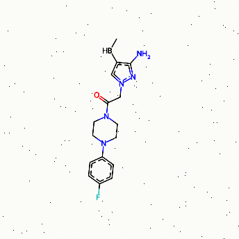 CBc1cn(CC(=O)N2CCN(c3ccc(F)cc3)CC2)nc1N